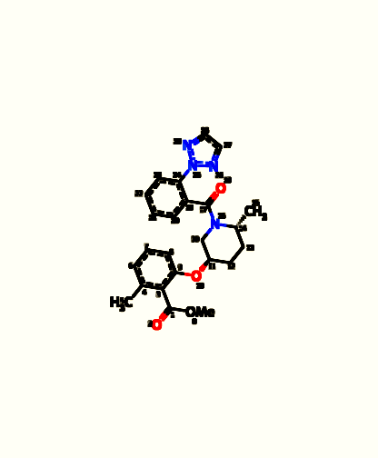 COC(=O)c1c(C)cccc1O[C@@H]1CC[C@@H](C)N(C(=O)c2ccccc2-n2nccn2)C1